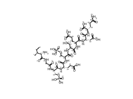 CC[C@H](C)[C@H](N)C(=O)NCC(=O)N[C@@H](COP(=O)(O)O)C(=O)N[C@@H](CCC(=O)O)C(=O)N[C@@H](COP(=O)(O)O)C(=O)N[C@H](C(=O)N[C@@H](CCC(=O)O)C(=O)N[C@@H](CC(=O)O)C(=O)N[C@@H](CCC(N)=O)C(=O)O)[C@@H](C)O